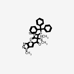 Cn1nnc2sc(C(=O)C3([SiH](C)C)C(=O)N(C(C)(C)C)C3SC(c3ccccc3)(c3ccccc3)c3ccccc3)cc21